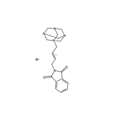 O=C1c2ccccc2C(=O)N1C/C=C/C[N+]12CN3CN(CN(C3)C1)C2.[Br-]